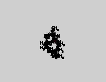 COCc1cc(C#N)c2cc1Oc1ccc(cc1)C[C@H]1C(=O)N[C@@H](C2)C(=O)N[C@H](C)C(=O)N[C@@H](C)C(=O)N(C)[C@@H](Cc2ccc(OC)cc2)C(=O)N[C@@H](C)C(=O)N1C